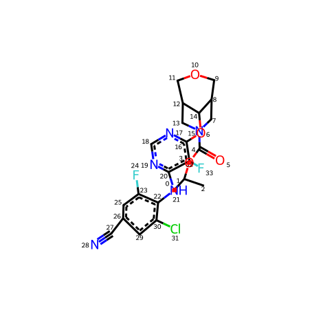 CC(C)OC(=O)N1CC2COCC(C1)C2Oc1ncnc(Nc2c(F)cc(C#N)cc2Cl)c1F